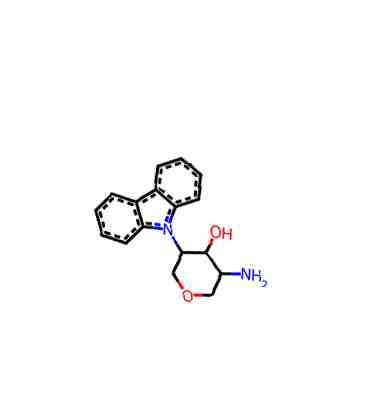 NC1COCC(n2c3ccccc3c3ccccc32)C1O